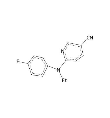 CCN(c1ccc(F)cc1)c1ccc(C#N)cn1